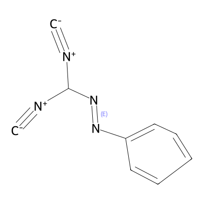 [C-]#[N+]C(/N=N/c1ccccc1)[N+]#[C-]